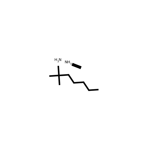 C=C.CCCCCC(C)(C)C.N.N